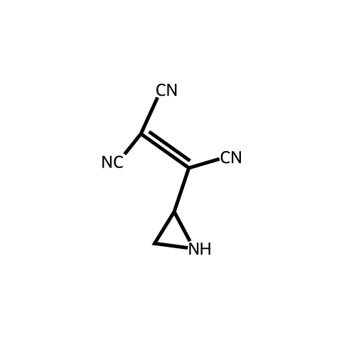 N#CC(C#N)=C(C#N)C1CN1